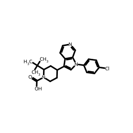 CC(C)(C)C1CC(c2cn(-c3ccc(Cl)cc3)c3cnccc23)CCN1C(=O)O